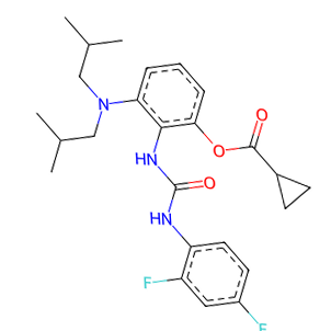 CC(C)CN(CC(C)C)c1cccc(OC(=O)C2CC2)c1NC(=O)Nc1ccc(F)cc1F